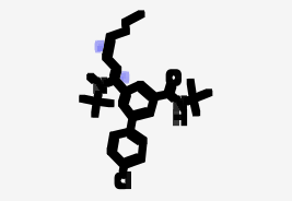 CCC/C=C\C=C(\c1cc(C(=O)NC(C)(C)C)cc(-c2ccc(Cl)cc2)c1)N(C)C(C)(C)C